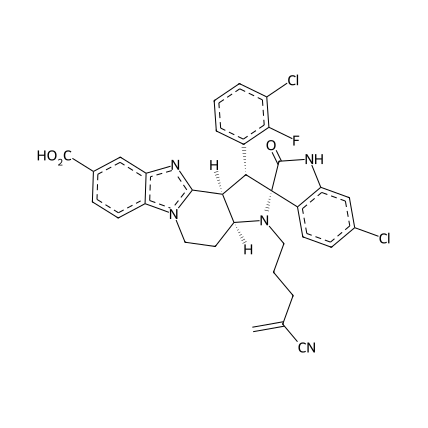 C=C(C#N)CCCN1[C@H]2CCn3c(nc4cc(C(=O)O)ccc43)[C@H]2[C@H](c2cccc(Cl)c2F)[C@]12C(=O)Nc1cc(Cl)ccc12